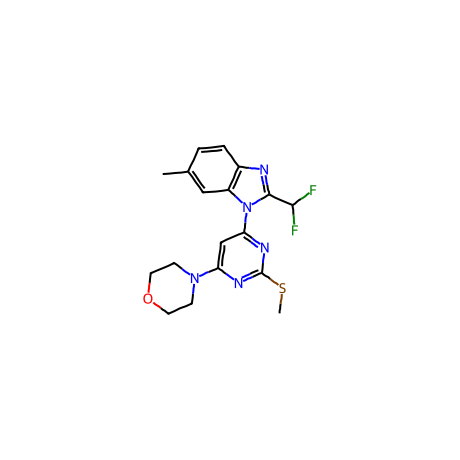 CSc1nc(N2CCOCC2)cc(-n2c(C(F)F)nc3ccc(C)cc32)n1